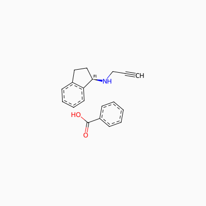 C#CCN[C@@H]1CCc2ccccc21.O=C(O)c1ccccc1